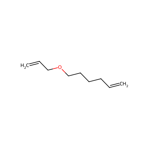 C=CCCCCOCC=C